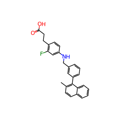 Cc1ccc2ccccc2c1-c1cccc(CNc2ccc(CCC(=O)O)c(F)c2)c1